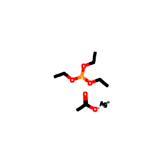 CC(=O)[O-].CCOP(OCC)OCC.[Ag+]